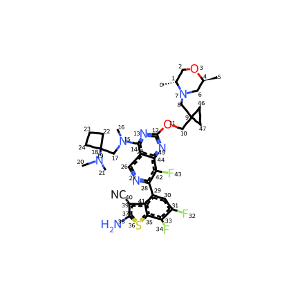 C[C@@H]1CO[C@@H](C)CN1CC1(COc2nc(N(C)CC3(N(C)C)CCC3)c3cnc(-c4cc(F)c(F)c5sc(N)c(C#N)c45)c(F)c3n2)CC1